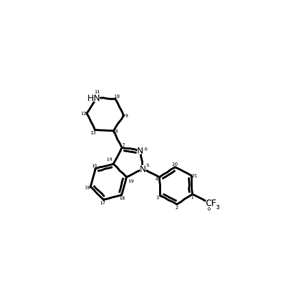 FC(F)(F)c1ccc(-n2nc(C3CCNCC3)c3ccccc32)cc1